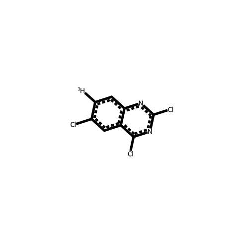 [3H]c1cc2nc(Cl)nc(Cl)c2cc1Cl